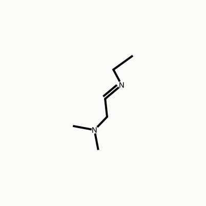 CC/N=C/CN(C)C